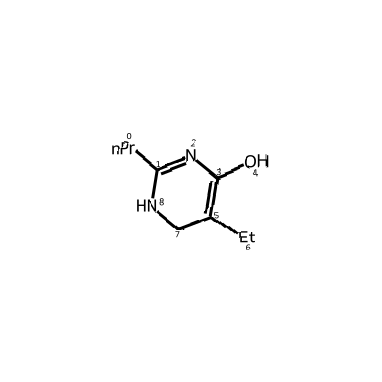 CCCC1=NC(O)=C(CC)[CH]N1